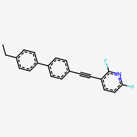 CCc1ccc(-c2ccc(C#Cc3ccc(F)nc3F)cc2)cc1